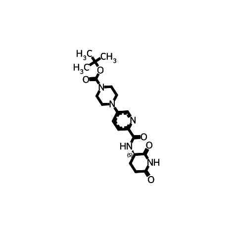 CC(C)(C)OC(=O)N1CCN(c2ccc(C(=O)N[C@H]3CCC(=O)NC3=O)nc2)CC1